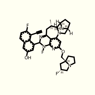 C#Cc1c(F)ccc2cc(O)cc(C3N=C4C[C@H](C)[C@H]5[C@@H]6CC[C@H](CN5c5cc(OC[C@@]78CCCN7C[C@H](F)C8)nc(c54)N3F)N6)c12